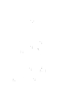 Cn1c([C@H]2CC[C@@H](Nc3ncc(C#N)cn3)C2)nc2cc(N)ccc21